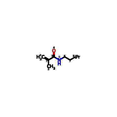 C=C(C)C(=O)NCCC(C)C